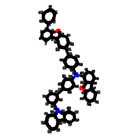 c1ccc(-c2cccc3c2oc2ccc(-c4ccc(N(c5ccc(-c6cccc(-n7c8ccccc8c8ccccc87)c6)cc5)c5cccc6c5oc5ccccc56)cc4)cc23)cc1